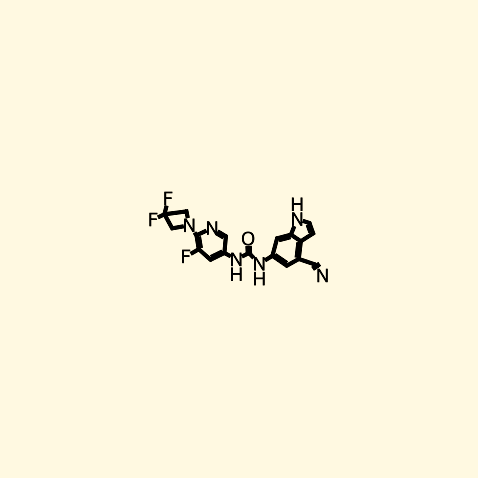 N#Cc1cc(NC(=O)Nc2cnc(N3CC(F)(F)C3)c(F)c2)cc2[nH]ccc12